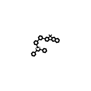 CC1(C)c2cc(-c3cccc(-c4cccc(-c5nc(-c6ccccc6)cc(-c6ccccc6)n5)c4)c3)ccc2-c2cc3ccccc3cc21